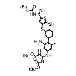 Cc1cc(N/C(=N/C(=O)OC(C)(C)C)NC(=O)OC(C)(C)C)cc(N)c1-c1cccc(Sc2cc(C(=N)NC(=O)OC(C)(C)C)sc2S)c1